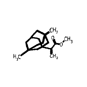 C=C(C(=O)OC)C12CC3CC(C)(CC(C)(C3)C1)C2